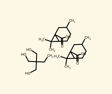 CC1CCC2C(C)(C)C2(C(=O)O)C1.CC1CCC2C(C)(C)C2(C(=O)O)C1.CCC(CO)(CO)CO